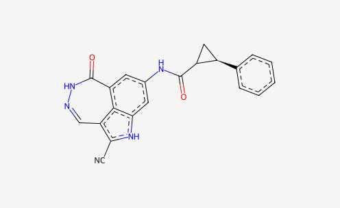 N#Cc1[nH]c2cc(NC(=O)C3C[C@H]3c3ccccc3)cc3c2c1C=NNC3=O